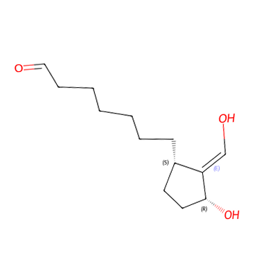 O=CCCCCCC[C@H]1CC[C@@H](O)/C1=C/O